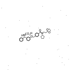 O=C(O)NC(c1ccccc1)c1cccc(OCc2ccc(C(=O)N(CCC3OCCO3)C3CCCC3)cc2)c1